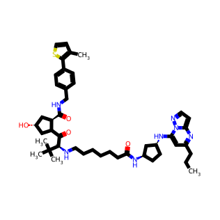 CCCc1cc(N[C@@H]2CC[C@@H](NC(=O)CCCCCCN[C@H](C(=O)C3C[C@H](O)C[C@H]3C(=O)NCc3ccc(-c4sccc4C)cc3)C(C)(C)C)C2)n2nccc2n1